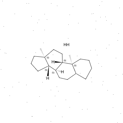 C[C@@]12CCC[C@H]1[C@@H]1CCC3CCCC[C@]3(C)[C@H]1CC2.[HH]